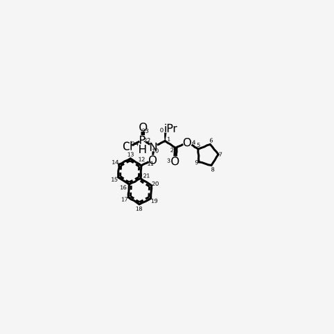 CC(C)[C@@H](C(=O)OC1CCCC1)N(Oc1cccc2ccccc12)[PH](=O)Cl